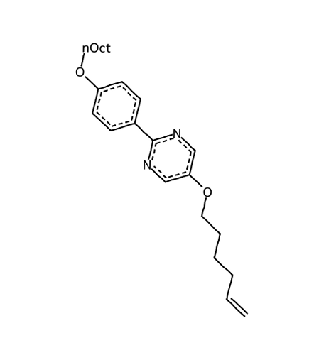 C=CCCCCOc1cnc(-c2ccc(OCCCCCCCC)cc2)nc1